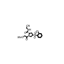 COCC(=O)N1C[C@H](S(=O)(=O)c2ccccc2Cl)C[C@H]1C(=O)NCC#N